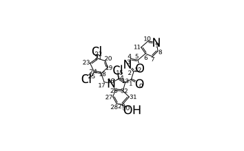 O=C(c1ncc(-c2ccncc2)o1)c1c(Cl)n(Cc2ccc(Cl)cc2Cl)c2ccc(O)cc12